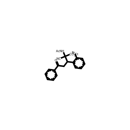 CCOC(=O)C(C#N)(NC(C)=O)C(CC(=O)c1ccccc1)c1ccccc1Br